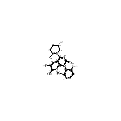 CCCCc1ccnc(C(C)C)c1-n1c(=O)nc(N2C[C@@H](C)CC[C@@H]2C)c2cc(F)c(Cl)nc21